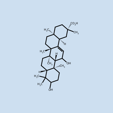 CC1(C)C(O)CC[C@]2(C)[C@H]3C(O)C=C4[C@@H]5C[C@@](C)(C(=O)O)CC[C@]5(C)CC[C@@]4(C)[C@]3(C)CC[C@@H]12